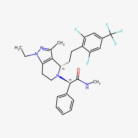 CCn1nc(C)c2c1CCN([C@@H](C(=O)NC)c1ccccc1)[C@H]2CCc1c(F)cc(C(F)(F)F)cc1F